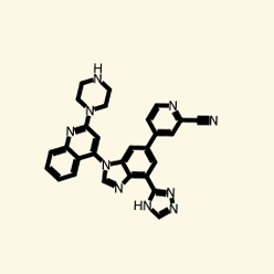 N#Cc1cc(-c2cc(-c3nnc[nH]3)c3ncn(-c4cc(N5CCNCC5)nc5ccccc45)c3c2)ccn1